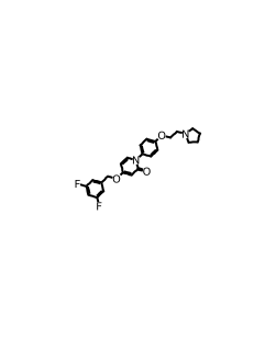 O=c1cc(OCc2cc(F)cc(F)c2)ccn1-c1ccc(OCCN2CCCC2)cc1